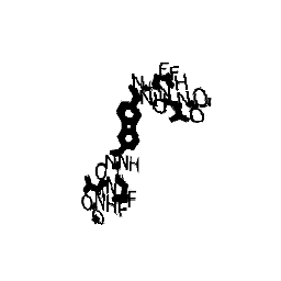 COC(=O)N[C@H](C(=O)N1CC(F)(F)C[C@H]1c1ncc(-c2ccc3c(c2)-c2ccc(-c4cnc([C@@H]5CC(F)(F)CN5C(=O)[C@@H](NC(=O)OC)C(C)C)[nH]4)cc2-3)[nH]1)C(C)C